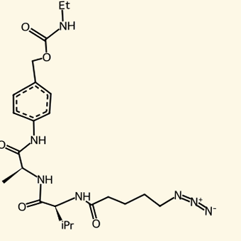 CCNC(=O)OCc1ccc(NC(=O)[C@H](C)NC(=O)[C@@H](NC(=O)CCCCN=[N+]=[N-])C(C)C)cc1